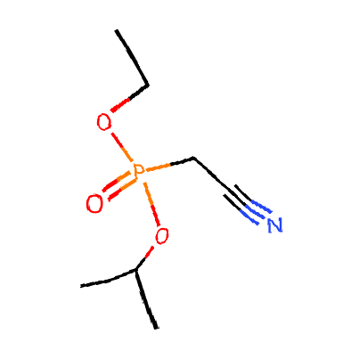 CCOP(=O)(CC#N)OC(C)C